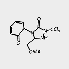 COCC1NN(C(Cl)(Cl)Cl)C(=O)N1C1C=CC=CC1=S